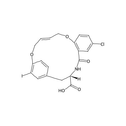 O=C1N[C@H](C(=O)O)Cc2ccc(c(I)c2)OC/C=C/COc2ccc(Cl)cc21